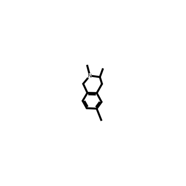 Cc1ccc2c(c1)CC(C)N(C)C2